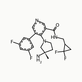 C[C@]1(N)CCN(c2c(C(=O)NCC3CC3(F)F)cncc2-c2cc(F)cc(F)c2)C1